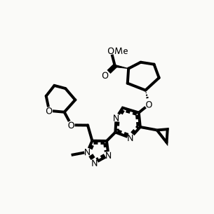 COC(=O)[C@H]1CCC[C@H](Oc2cnc(-c3nnn(C)c3COC3CCCCO3)nc2C2CC2)C1